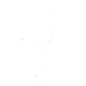 CCN(CC)c1ccc2c(c1)OC1CC[N+]3=C(C1=C2)C(C)(CC(=O)O)c1cc2c4c(cccc4c13)-c1ccccc1-2